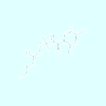 CCCCC(=O)OCC(C)(C)NC(=O)c1ccc(F)cc1F